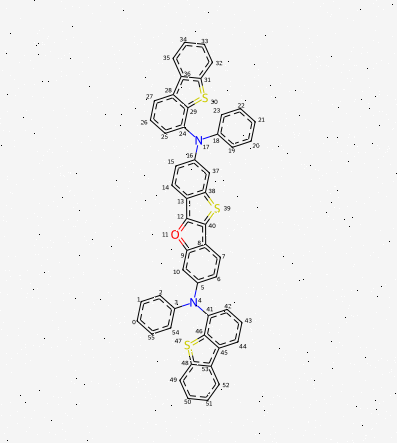 c1ccc(N(c2ccc3c(c2)oc2c4ccc(N(c5ccccc5)c5cccc6c5sc5ccccc56)cc4sc32)c2cccc3c2sc2ccccc23)cc1